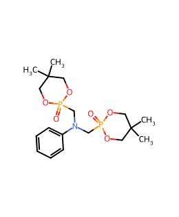 CC1(C)COP(=O)(CN(CP2(=O)OCC(C)(C)CO2)c2ccccc2)OC1